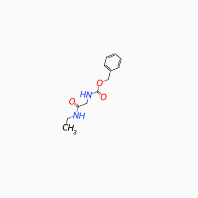 CCNC(=O)CNC(=O)OCc1ccccc1